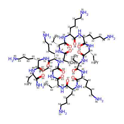 CCCCCCCCCCCC(=O)N[C@H](CC(C)C)C(=O)N[C@@H](CCCCN)C(=O)N[C@@H](CCCCN)C(=O)N[C@H](CC(C)C)C(=O)N[C@H](CC(C)C)C(=O)N[C@@H](CCCCN)C(=O)N[C@@H](CCCCN)C(=O)N[C@H](CC(C)C)C(=O)N[C@H](CC(C)C)C(=O)N[C@@H](CCCCN)C(=O)N[C@@H](CCCCN)C(=O)N[C@H](CC(C)C)C(N)=O